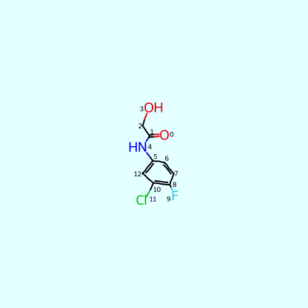 O=C(CO)Nc1ccc(F)c(Cl)c1